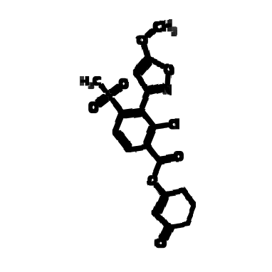 COc1cc(-c2c(S(C)(=O)=O)ccc(C(=O)OC3=CC(=O)CCC3)c2Cl)no1